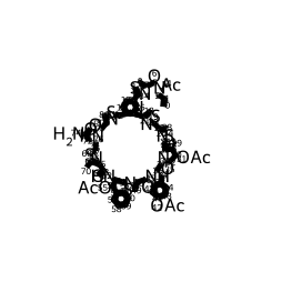 C=CCN(C(C)=O)C(=O)c1csc(-c2ccc3c(n2)-c2csc(n2)-c2csc(n2)[C@@H]2[C@@H](C)[C@@H](OC(C)=O)CN2C(=O)[C@H](Cc2ccc(OC(C)=O)cc2)NC(=O)c2csc(n2)[C@H]([C@H](OC(C)=O)c2ccccc2)NC(=O)c2nc(sc2C)[C@H](CC(N)=O)NC(=O)c2csc-3n2)n1